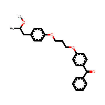 CCOC(Cc1ccc(OCCCOc2ccc(C(=O)c3ccccc3)cc2)cc1)C(C)=O